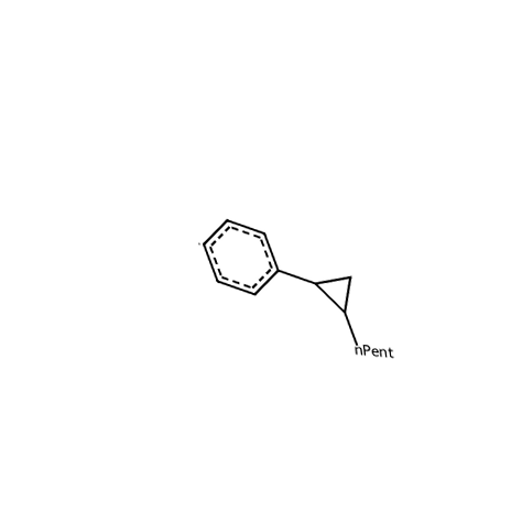 CCCCCC1CC1c1cc[c]cc1